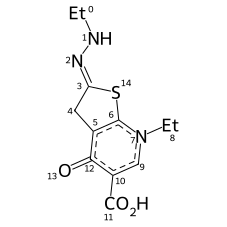 CCNN=C1Cc2c(n(CC)cc(C(=O)O)c2=O)S1